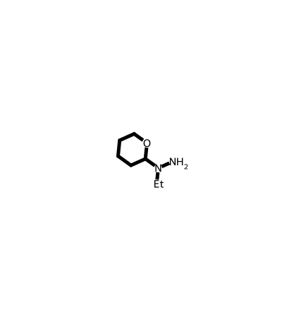 CCN(N)C1CCCCO1